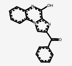 O=C(c1ccccc1)c1cn2c(n1)c(O)nc1ccccc12